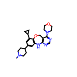 CN1CCC(c2cc3c(c(C4CC4)c2)OCc2c(ncnc2N2CCOCC2)N3)CC1